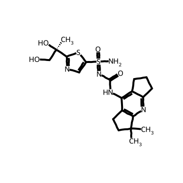 CC1(C)CCc2c1nc1c(c2NC(=O)N=S(N)(=O)c2cnc([C@](C)(O)CO)s2)CCC1